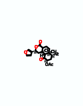 CC(=O)O[C@H]1C[C@@H](C(C)=O)[C@]2(C)CCC3C(=O)O[C@@H](c4ccoc4)C[C@]3(C)[C@H]2C1=O